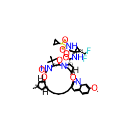 COc1ccc2cc3c(nc2c1)O[C@@H]1C[C@@H](C(=O)N[C@]2(C(=O)NS(=O)(=O)C4CC4)C[C@H]2C(F)F)N(C1)C(=O)[C@H](C(C)(C)C)NC(=O)O[C@@H]1C[C@H](C)C[C@H]1CCCCC3